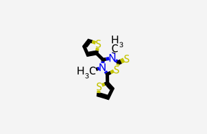 CN1C(=S)SC(c2cccs2)N(C)C1c1cccs1